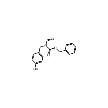 O=CN(Cc1ccc(O)cc1)C(=O)OCc1ccccc1